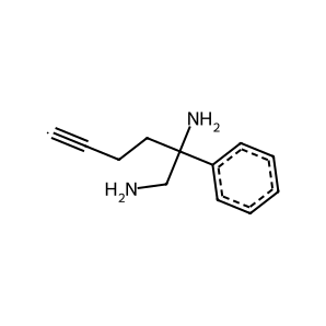 [C]#CCCC(N)(CN)c1ccccc1